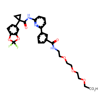 O=C(O)COCCOCCOCCNC(=O)c1cccc(-c2cccc(NC(=O)C3(c4ccc5c(c4)OC(F)(F)O5)CC3)n2)c1